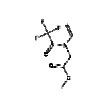 C=CN(CC(=O)OC)C(=O)C(F)(F)F